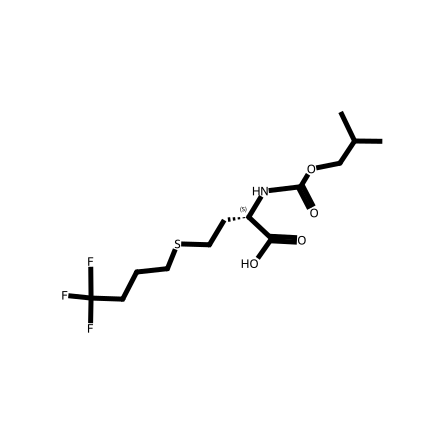 CC(C)COC(=O)N[C@@H](CCSCCCC(F)(F)F)C(=O)O